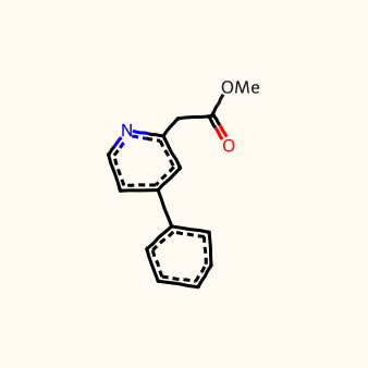 COC(=O)Cc1cc(-c2ccccc2)ccn1